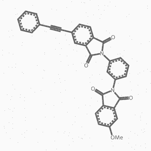 COc1ccc2c(c1)C(=O)N(c1cccc(N3C(=O)c4ccc(C#Cc5ccccc5)cc4C3=O)c1)C2=O